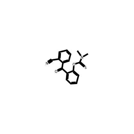 CN(C)C(=S)Oc1ccccc1C(=O)c1ccccc1C#N